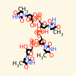 Cc1cn([C@H]2C[C@H](OP(=O)(O)OC[C@H]3O[C@@H](n4cc(C)c(=O)[nH]c4=O)C[C@@H]3OP(=O)(O)OC[C@H]3O[C@@H](n4cc(C)c(=O)[nH]c4=O)C[C@@H]3OP(=O)(O)OC[C@H]3O[C@@H](n4cc(C)c(=O)[nH]c4=O)C[C@@H]3O)[C@@H](CO)O2)c(=O)[nH]c1=O